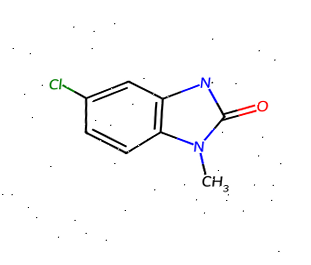 CN1C(=O)[N]c2cc(Cl)ccc21